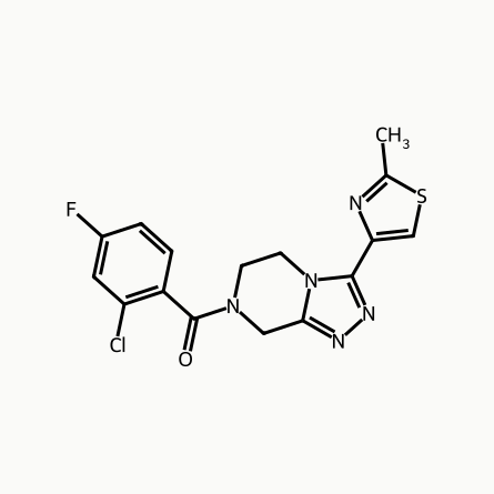 Cc1nc(-c2nnc3n2CCN(C(=O)c2ccc(F)cc2Cl)C3)cs1